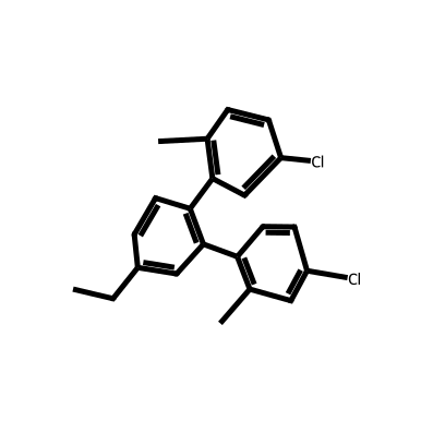 CCc1ccc(-c2cc(Cl)ccc2C)c(-c2ccc(Cl)cc2C)c1